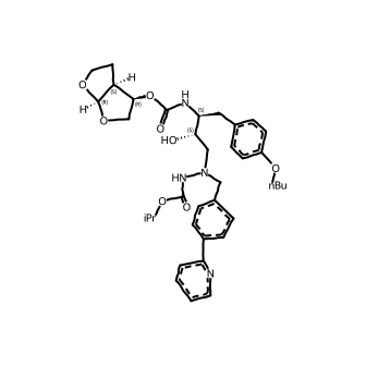 CCCCOc1ccc(C[C@H](NC(=O)O[C@H]2CO[C@H]3OCC[C@H]32)[C@@H](O)CN(Cc2ccc(-c3ccccn3)cc2)NC(=O)OC(C)C)cc1